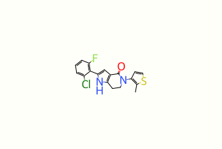 Cc1sccc1N1CCc2[nH]c(-c3c(F)cccc3Cl)cc2C1=O